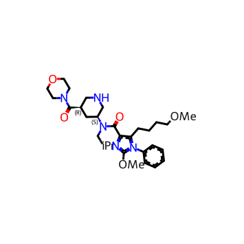 COCCCCc1c(C(=O)N(CC(C)C)[C@@H]2CNC[C@H](C(=O)N3CCOCC3)C2)nc(OC)n1-c1ccccc1